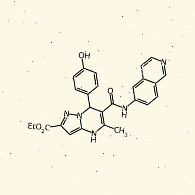 CCOC(=O)c1cc2n(n1)C(c1ccc(O)cc1)C(C(=O)Nc1ccc3cnccc3c1)=C(C)N2